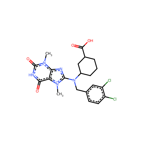 Cn1c(N(Cc2ccc(Cl)c(Cl)c2)C2CCCC(C(=O)O)C2)nc2c1c(=O)[nH]c(=O)n2C